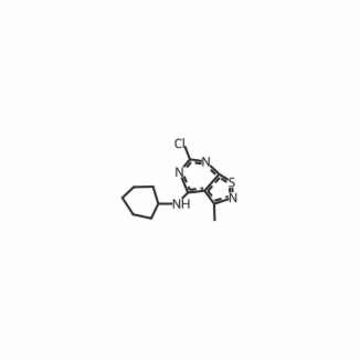 Cc1nsc2nc(Cl)nc(NC3CCCCC3)c12